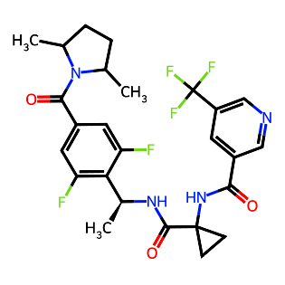 CC1CCC(C)N1C(=O)c1cc(F)c([C@H](C)NC(=O)C2(NC(=O)c3cncc(C(F)(F)F)c3)CC2)c(F)c1